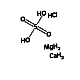 Cl.O=S(=O)(O)O.[CaH2].[MgH2]